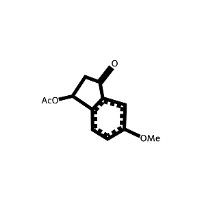 COc1ccc2c(c1)C(=O)CC2OC(C)=O